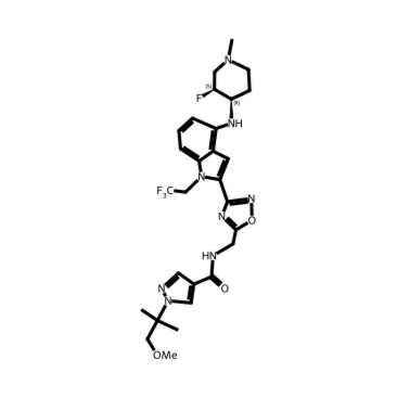 COCC(C)(C)n1cc(C(=O)NCc2nc(-c3cc4c(N[C@@H]5CCN(C)C[C@@H]5F)cccc4n3CC(F)(F)F)no2)cn1